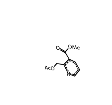 COC(=O)c1cccnc1COC(C)=O